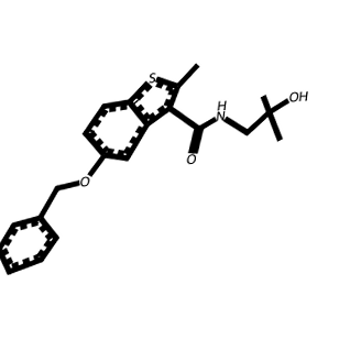 Cc1sc2ccc(OCc3ccccc3)cc2c1C(=O)NCC(C)(C)O